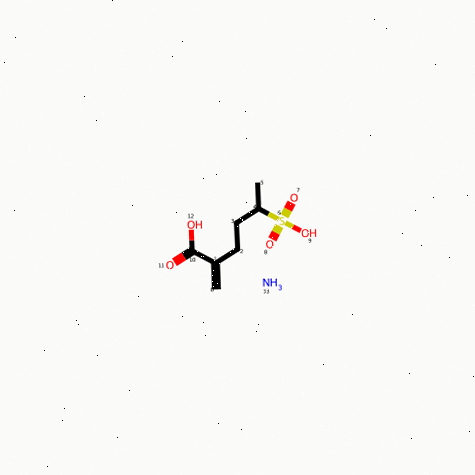 C=C(CCC(C)S(=O)(=O)O)C(=O)O.N